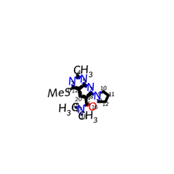 CSc1nc(C)nc2nc(N3CCCC3)c(C(=O)N(C)C)cc12